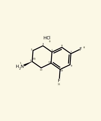 Cl.N[C@H]1CCc2cc(F)cc(F)c2C1